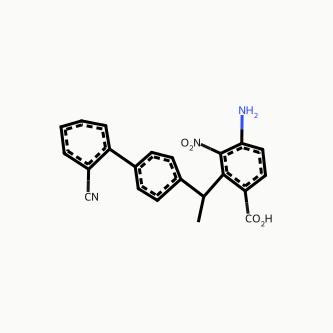 CC(c1ccc(-c2ccccc2C#N)cc1)c1c(C(=O)O)ccc(N)c1[N+](=O)[O-]